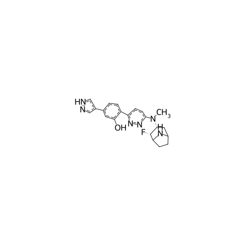 CN(c1ccc(-c2ccc(-c3cn[nH]c3)cc2O)nn1)[C@@H]1CC2CCC(N2)[C@@H]1F